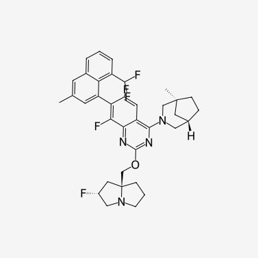 Cc1cc(-c2c(F)cc3c(N4C[C@H]5CC[C@@](C)(C5)C4)nc(OC[C@@]45CCCN4C[C@H](F)C5)nc3c2F)c2c(C(F)F)cccc2c1